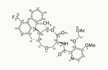 COc1ccnc(C(=O)N[C@H]2COC[C@H](Cc3ccc(C(F)(F)F)cc3)[C@@H](Cc3ccccc3)[C@H](C)OC2=O)c1OCOC(C)=O